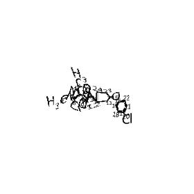 Cc1nn(C)c(Cl)c1S(=O)(=O)N1CCC(Oc2ccc(Cl)cc2)CC1